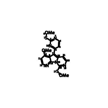 COSc1nccc(-c2c3c(OC)ccnc3n3c(SOC)nccc23)n1